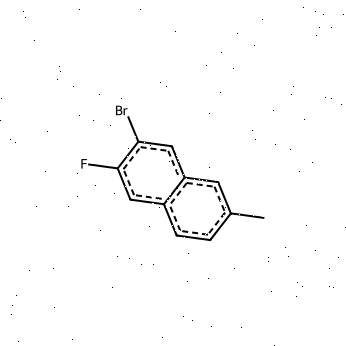 Cc1ccc2cc(F)c(Br)cc2c1